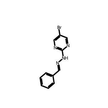 Brc1cnc(NN=Cc2ccccc2)nc1